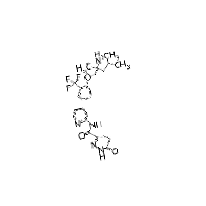 CC(C)CC(C)(N)COc1ccc(-c2ccnc(NC(=O)C3=NNC(=O)CC3)c2)cc1C(F)(F)F